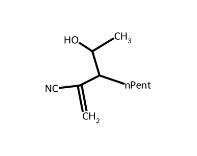 C=C(C#N)C(CCCCC)C(C)O